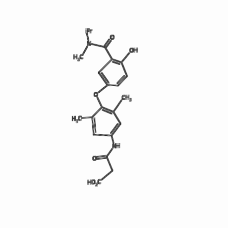 Cc1cc(NC(=O)CC(=O)O)cc(C)c1Oc1ccc(O)c(C(=O)N(C)C(C)C)c1